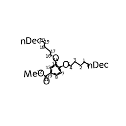 CCCCCCCCCCCCCCOc1ccc(C(=O)OC)cc1OCCCCCCCCCCCCCC